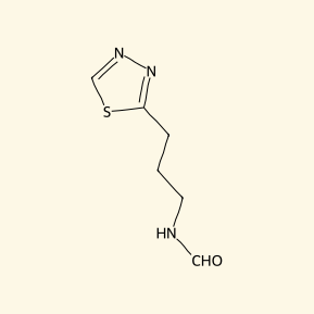 O=CNCCCc1nncs1